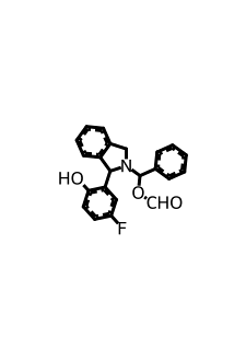 O=COC(c1ccccc1)N1Cc2ccccc2C1c1cc(F)ccc1O